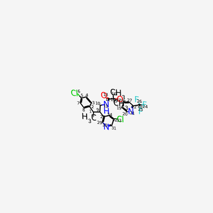 CC(c1ccc(Cl)cc1)C(CNC(=O)C(C)(C)Oc1ccnc(C(F)(F)F)c1)c1cncc(Cl)c1